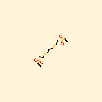 C=CS(=O)(=O)CCSCCCSCCS(=O)(=O)C=C